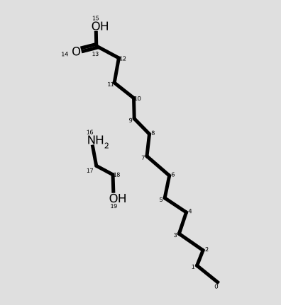 CCCCCCCCCCCCCC(=O)O.NCCO